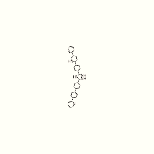 C1=CC(c2ccc(C3NNC(c4ccc(-c5ccc(-c6ccccn6)cn5)cc4)N3)cc2)NC=C1c1ccccn1